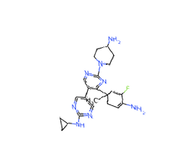 CC1(c2nc(N3CCC(N)CC3)ncc2-c2cnc(NC3CC3)nc2)C=C(F)C(N)=CC1